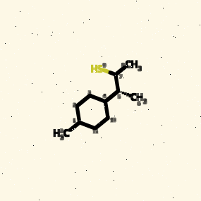 CC1CCC([C@@H](C)C(C)S)CC1